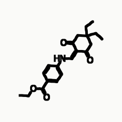 CCOC(=O)c1ccc(NC=C2C(=O)CC(CC)(CC)CC2=O)cc1